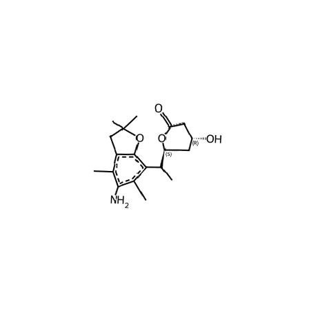 Cc1c(N)c(C)c(C(C)[C@@H]2C[C@@H](O)CC(=O)O2)c2c1CC(C)(C)O2